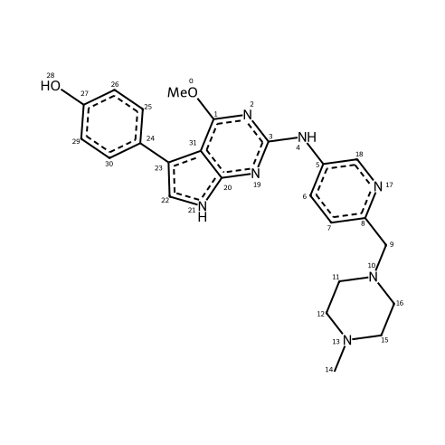 COc1nc(Nc2ccc(CN3CCN(C)CC3)nc2)nc2[nH]cc(-c3ccc(O)cc3)c12